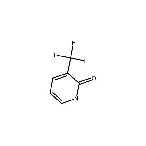 O=C1[N][C]=CC=C1C(F)(F)F